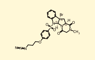 CN1CC(=O)N2[C@@H](C[C@]3(Br)c4ccccc4N(S(=O)(=O)c4ccc(OCCCN=[N+]=[N-])cc4)[C@H]23)C1=O